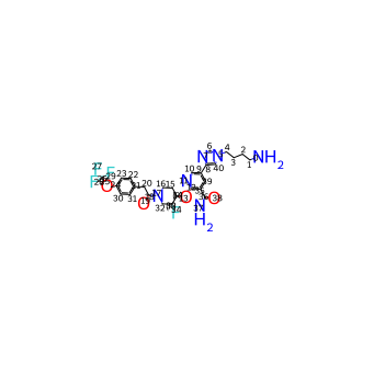 NCCCCn1cnc(-c2cnc(O[C@@H]3CCN(C(=O)Cc4ccc(OC(F)(F)F)cc4)C[C@H]3F)c(C(N)=O)c2)c1